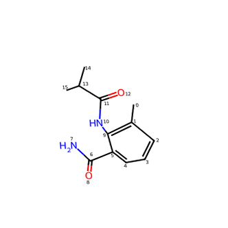 Cc1cccc(C(N)=O)c1NC(=O)C(C)C